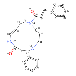 O=C1C[C@@H](c2ccccc2)NCCCN(C(=O)/C=C/c2ccccc2)CC/C=C/N1